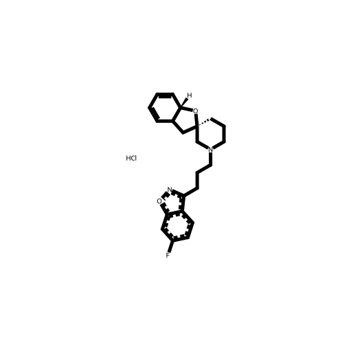 Cl.Fc1ccc2c(CCCN3CCC[C@@]4(CC5C=CC=C[C@@H]5O4)C3)noc2c1